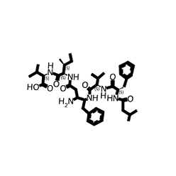 CC[C@H](C)[C@H](NC(=O)CC(N)C(Cc1ccccc1)NC(=O)[C@@H](NC(=O)[C@H](Cc1ccccc1)NC(=O)CC(C)C)C(C)C)C(=O)N[C@H](C(=O)O)C(C)C